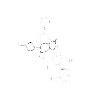 C[C@@H]1CN(c2nc(=O)n3c4c(c(-c5ccc(F)cc5)c(C(F)(F)F)cc24)SC[C@@H](N2CCOCC2)C3)C[C@H](C)N1C(=O)OC(C)(C)C